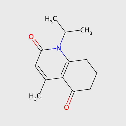 Cc1cc(=O)n(C(C)C)c2c1C(=O)CCC2